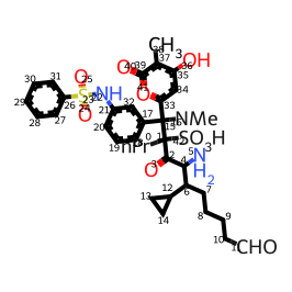 CCCC(C(=O)C(N)C(CCCCC=O)C1CC1)(C(NC)(c1cccc(NS(=O)(=O)c2ccccc2)c1)c1cc(O)c(C)c(=O)o1)S(=O)(=O)O